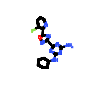 Nc1nc(Nc2ccccc2)nc(-c2noc(-c3ncccc3F)n2)n1